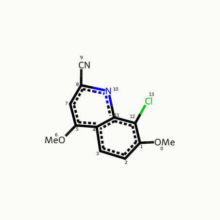 COc1ccc2c(OC)cc(C#N)nc2c1Cl